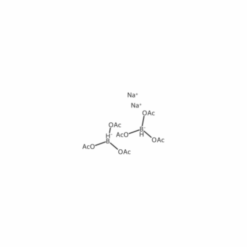 CC(=O)O[BH-](OC(C)=O)OC(C)=O.CC(=O)O[BH-](OC(C)=O)OC(C)=O.[Na+].[Na+]